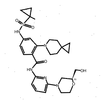 CC1(S(=O)(=O)Nc2ccc(C(=O)Nc3cccc(N4CCO[C@H](CO)C4)n3)c(N3CCC4(CC3)CC4)c2)CC1